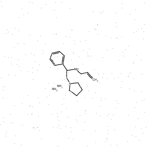 C=CCNC(CN1CCCC1)c1ccccc1.N.N